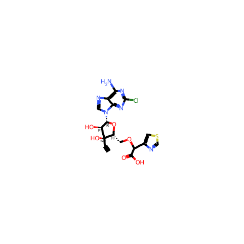 C#C[C@@]1(O)[C@@H](COC(C(=O)O)c2cscn2)O[C@@H](n2cnc3c(N)nc(Cl)nc32)[C@@H]1O